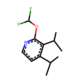 CC(C)c1ccnc(OC(F)F)c1C(C)C